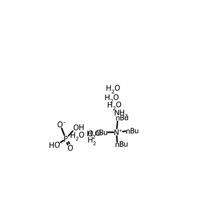 CCCC[N+](CCCC)(CCCC)CCCC.N.O.O.O.O.O.O.O=P([O-])(O)O